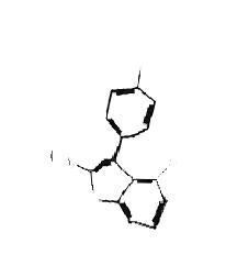 CCc1oc2cccc(Br)c2c1-c1ccc(O)cc1